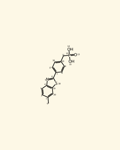 Cc1ccc2nc(-c3ccc(CP(=O)(O)O)cc3)sc2c1